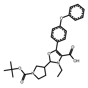 CCN1C(C(=O)O)=C(c2ccc(Oc3ccccc3)cc2)OC1C1CCN(C(=O)OC(C)(C)C)C1